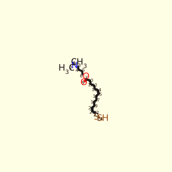 CN(C)CCCCOC(=O)CCCC/C=C\CCCC/C=C\CSS